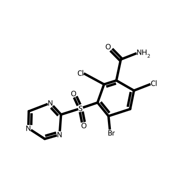 NC(=O)c1c(Cl)cc(Br)c(S(=O)(=O)c2ncncn2)c1Cl